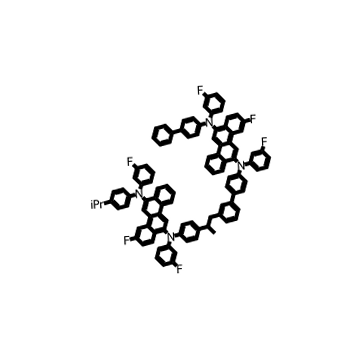 CC(C)c1ccc(N(c2cccc(F)c2)c2cc3c4cc(F)ccc4c(N(c4ccc(C(C)Cc5cccc(-c6ccc(N(c7cccc(F)c7)c7cc8c9cc(F)ccc9c(N(c9ccc(-c%10ccccc%10)cc9)c9cccc(F)c9)cc8c8ccccc78)cc6)c5)cc4)c4cccc(F)c4)cc3c3ccccc23)cc1